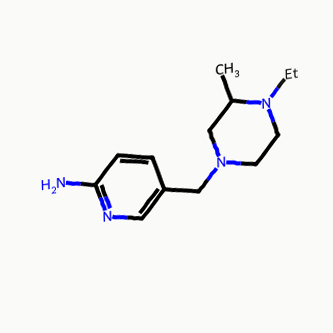 CCN1CCN(Cc2ccc(N)nc2)CC1C